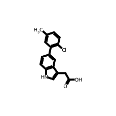 Cc1ccc(Cl)c(-c2ccc3[nH]cc(CC(=O)O)c3c2)c1